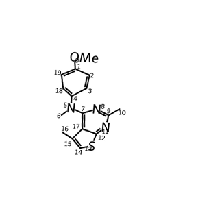 COc1ccc(N(C)c2nc(C)nc3scc(C)c23)cc1